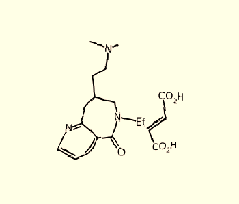 CCN1CC(CCN(C)C)Cc2ncccc2C1=O.O=C(O)/C=C/C(=O)O